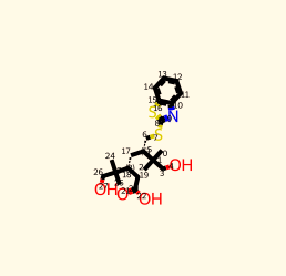 CC(C)(CO)[C@@H](CSc1nc2ccccc2s1)C[C@H](CC(=O)O)C(C)(C)CO